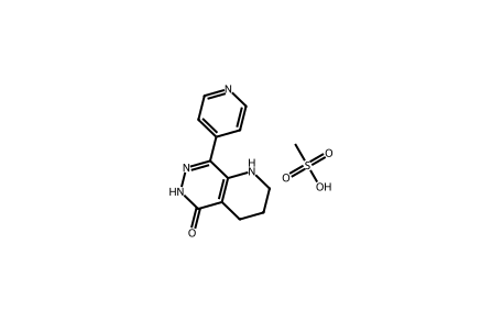 CS(=O)(=O)O.O=c1[nH]nc(-c2ccncc2)c2c1CCCN2